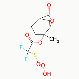 CC1(OC(=O)C(F)(F)SOOO)CCC2CC1OC2=O